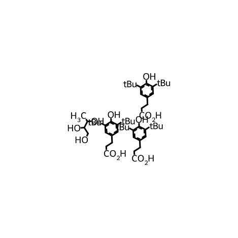 CC(C)(C)c1cc(CCC(=O)O)cc(C(C)(C)C)c1O.CC(C)(C)c1cc(CCC(=O)O)cc(C(C)(C)C)c1O.CC(C)(C)c1cc(CCC(=O)O)cc(C(C)(C)C)c1O.CC(O)C(O)CO